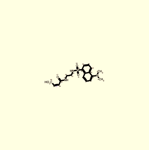 CN(C)c1cccc2c(S(=O)(=O)NCCNC(=O)/C=C\C(=O)O)cccc12